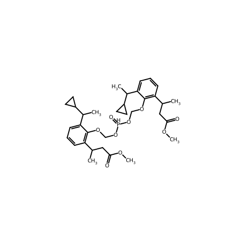 COC(=O)CC(C)c1cccc(C(C)C2CC2)c1OCO[PH](=O)OCOc1c(C(C)CC(=O)OC)cccc1C(C)C1CC1